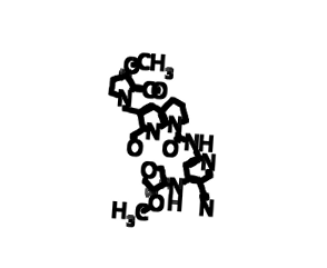 CO[C@@H]1CCN(Cc2cc3c(nc2C=O)N(C(=O)Nc2cc(N[C@@H]4COC[C@H]4OC)c(C#N)cn2)CCC3)C1=C=O